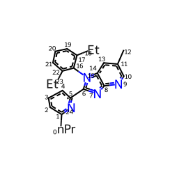 CCCc1cccc(-c2nc3ncc(C)cc3n2-c2c(CC)cccc2CC)n1